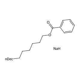 CCCCCCCCCCCCCCCCOC(=O)c1ccccc1.[NaH]